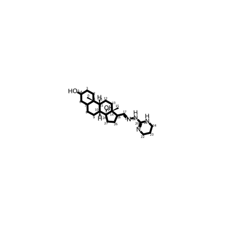 C[C@]12CCC(O)CC1CC[C@@H]1[C@H]2CC[C@]2(C)C(/C=N/NC3=NCCCN3)CC[C@@]12O